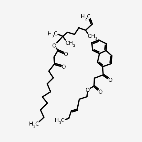 C=CC(C)CCCC(C)(C)OC(=O)CC(=O)CCCCCCCCC.CCC=CCCOC(=O)CC(=O)c1ccc2ccccc2c1